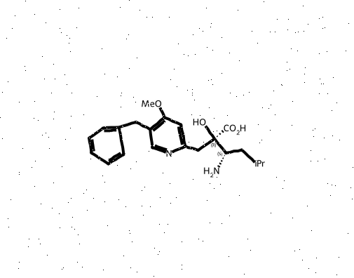 COc1cc(C[C@](O)(C(=O)O)[C@@H](N)CC(C)C)ncc1Cc1ccccc1